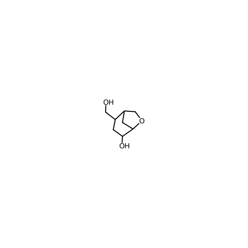 OCC1CC(O)C2CC1CO2